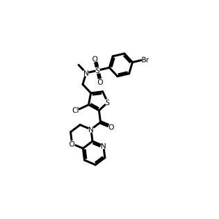 CN(Cc1csc(C(=O)N2CCOc3cccnc32)c1Cl)S(=O)(=O)c1ccc(Br)cc1